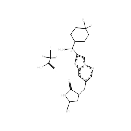 CC(C)C1CC(Cc2cnn3cc([C@@H](N)C4CCC(F)(F)CC4)nc3c2)C(=O)N1.O=C(O)C(F)(F)F